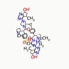 C[C@@H]1C[C@@H](O)c2ncnc(N3CCN(C(=O)[C@@H](c4ccc(S(C)(=O)=O)cc4)[C@@H]4CCCN4C)C(C4CC4c4ccc([C@H](C(=O)N5CCN(c6ncnc7c6[C@H](C)C[C@@H]7O)CC5)[C@@H]5CCC(C)(C)N5)cc4)C3)c21